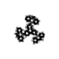 CC1(C)c2ccccc2N(c2ccc3c(c2)c2ccc(N4c5ccccc5C(C)(C)c5ccccc54)cc2c2ccc(N4c5ccccc5C(C)(C)c5ccccc54)cc32)c2ccccc21